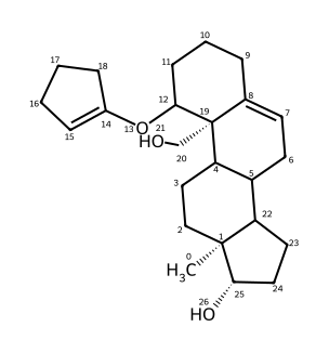 C[C@]12CCC3C(CC=C4CCCC(OC5=CCCC5)[C@@]43CO)C1CC[C@@H]2O